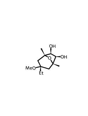 CC[C@@]1(OC)C[C@@]2(C)O[C@@](C)(C1)[C@H](O)[C@@H]2O